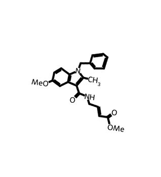 COC(=O)/C=C/CNC(=O)c1c(C)n(Cc2ccccc2)c2ccc(OC)cc12